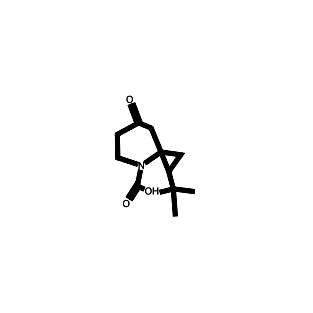 CC(C)(C)C1CC12CC(=O)CCN2C(=O)O